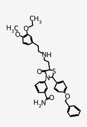 CCOc1cc(CCNCCC2SC(c3ccc(OCc4ccccc4)cc3)N(c3cccc(C(N)=O)c3)C2=O)ccc1OC